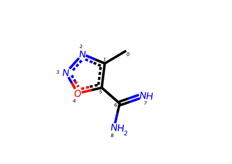 Cc1nnoc1C(=N)N